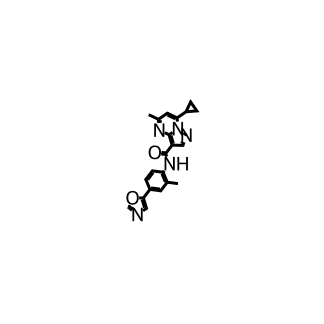 Cc1cc(C2CC2)n2ncc(C(=O)Nc3ccc(-c4cnco4)cc3C)c2n1